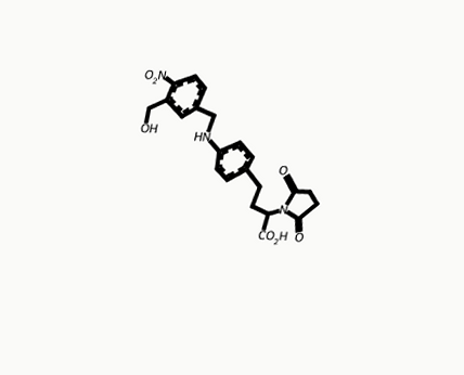 O=C(O)C(CCc1ccc(NCc2ccc([N+](=O)[O-])c(CO)c2)cc1)N1C(=O)CCC1=O